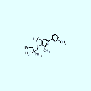 Cc1cc(-c2cc(C)c(OCC(C)(N)CC(C)C)c(C)n2)ccn1